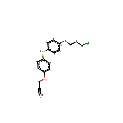 C#CCOc1ccc(Sc2ccc(OCCCCl)cc2)cc1